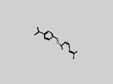 CC(C)=C/C=C\C(C)OCc1ccc(C(C)C)cc1